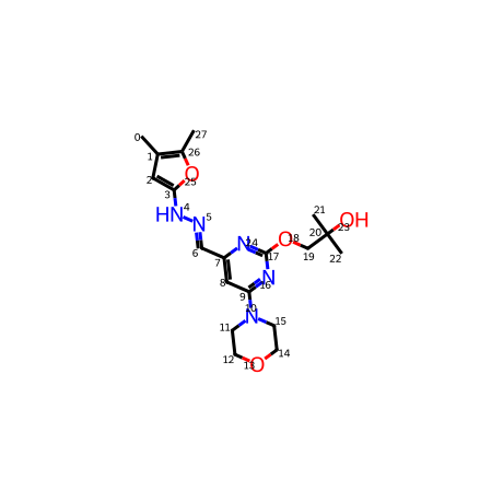 Cc1cc(NN=Cc2cc(N3CCOCC3)nc(OCC(C)(C)O)n2)oc1C